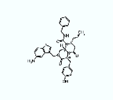 C=CCN1CC(=O)N2[C@@H](Cc3ccc(O)cc3)C(=O)N(Cc3csc4ccc(N)cc34)C[C@@H]2N1C(=O)NCc1ccccc1